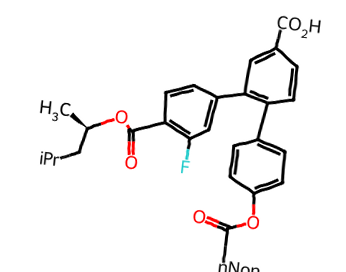 CCCCCCCCCC(=O)Oc1ccc(-c2ccc(C(=O)O)cc2-c2ccc(C(=O)O[C@H](C)CC(C)C)c(F)c2)cc1